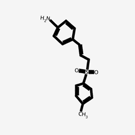 Cc1ccc(S(=O)(=O)CC=Cc2ccc(N)cc2)cc1